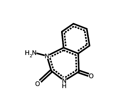 Nn1c(=O)[nH]c(=O)c2ccccc21